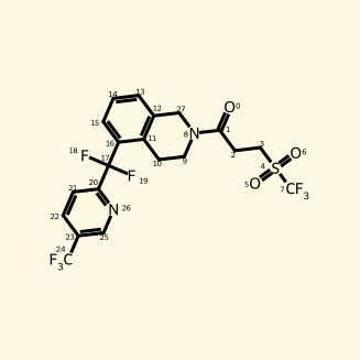 O=C(CCS(=O)(=O)C(F)(F)F)N1CCc2c(cccc2C(F)(F)c2ccc(C(F)(F)F)cn2)C1